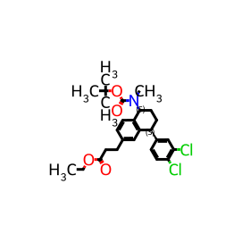 CCOC(=O)CCc1ccc2c(c1)[C@H](c1ccc(Cl)c(Cl)c1)CC[C@@H]2N(C)C(=O)OC(C)(C)C